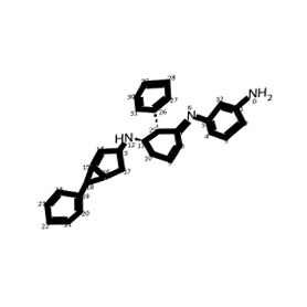 Nc1cccc(/N=C2\C=CC[C@H](NC3C=C4C(C3)C4c3ccccc3)[C@@H]2c2ccccc2)c1